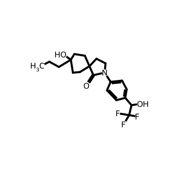 CCCC1(O)CCC2(CCN(c3ccc(C(O)C(F)(F)F)cc3)C2=O)CC1